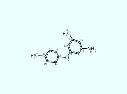 Nc1cc(Oc2ccc(C(F)(F)F)cc2)cc(C(F)(F)F)c1